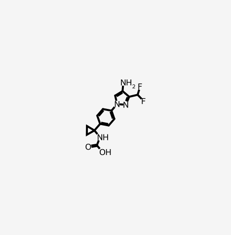 Nc1cn(-c2ccc(C3(NC(=O)O)CC3)cc2)nc1C(F)F